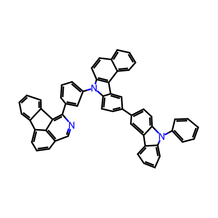 c1ccc(-n2c3ccccc3c3cc(-c4ccc5c(c4)c4c6ccccc6ccc4n5-c4cccc(-c5ncc6cccc7c6c5-c5ccccc5-7)c4)ccc32)cc1